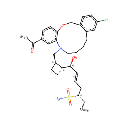 COC[C@@H](C/C=C/[C@H](O)[C@@H]1CC[C@H]1CN1CCCCc2cc(Cl)ccc2COc2ccc(C(=O)OC)cc21)S(N)(=O)=O